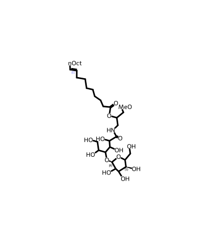 CCCCCCCC/C=C/CCCCCCCC(=O)OC(CNC(=O)C(O)C(O)C(O[C@H]1OC(CO)[C@@H](O)C(O)C1O)C(O)CO)COC